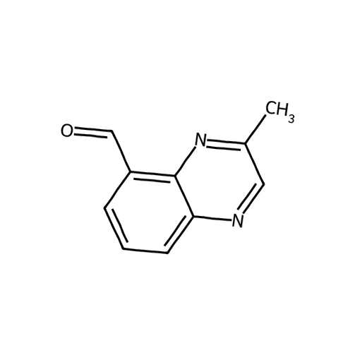 Cc1cnc2cccc(C=O)c2n1